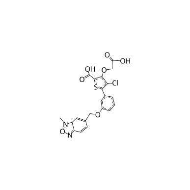 CN1ON=C2C=CC(COc3cccc(-c4sc(C(=O)O)c(OCC(=O)O)c4Cl)c3)=CC21